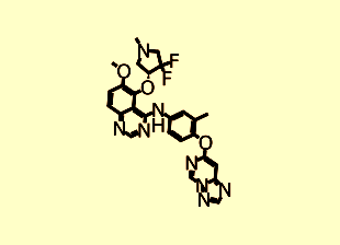 COc1ccc2ncnc(Nc3ccc(Oc4cc5ncnn5cn4)c(C)c3)c2c1O[C@@H]1CN(C)CC1(F)F